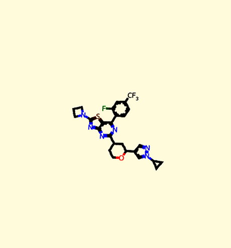 Fc1cc(C(F)(F)F)ccc1-c1nc(C2CCOC(c3cnn(C4CC4)c3)C2)nc2nc(N3CCC3)sc12